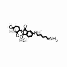 Cl.NCCCCCNc1ccc2c(c1)C(=O)N(C1CCC(=O)NC1=O)C2=O